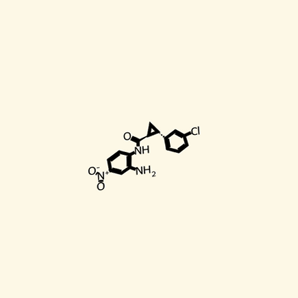 Nc1cc([N+](=O)[O-])ccc1NC(=O)[C@H]1C[C@@H]1c1cccc(Cl)c1